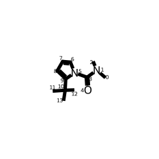 CN(C)C(=O)n1cccc1C(C)(C)C